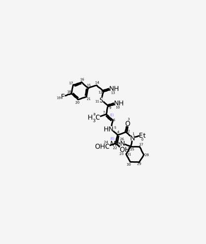 CCN(C(=O)/C(N/C=C(\C)C(=N)SC(=N)Cc1ccc(F)cc1)=C(\O)C=O)C1(NC)CCCCC1